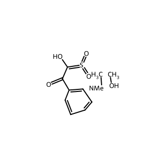 CNC.CO.O=C(C(O)=S(=O)=O)c1ccccc1